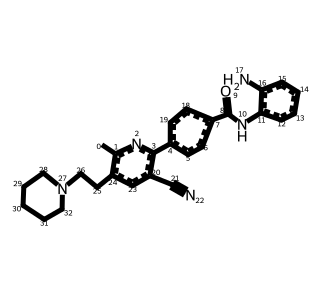 Cc1nc(-c2ccc(C(=O)Nc3ccccc3N)cc2)c(C#N)cc1CCN1CCCCC1